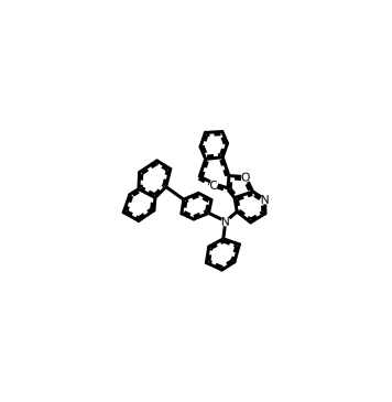 c1ccc(N(c2ccc(-c3cccc4ccccc34)cc2)c2ccnc3oc4c5ccccc5ccc4c23)cc1